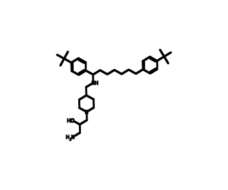 CC(C)(C)c1ccc(CCCCCCC(NCC2CCN(CC(O)CN)CC2)c2ccc(C(C)(C)C)cc2)cc1